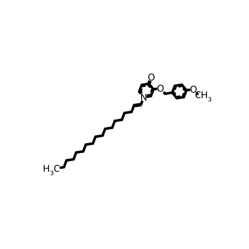 CCCCCCCCCCCCCCCCC=Cn1ccc(=O)c(OCc2ccc(OC)cc2)c1